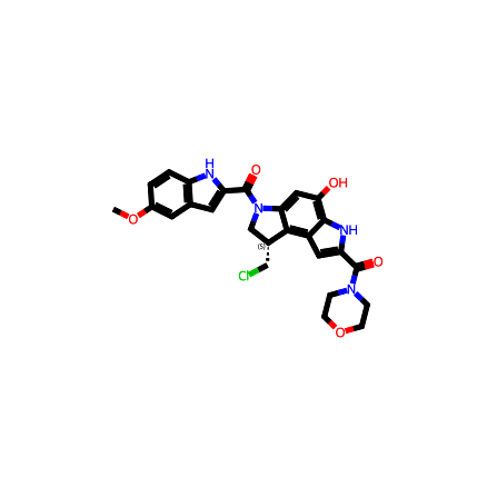 COc1ccc2[nH]c(C(=O)N3C[C@@H](CCl)c4c3cc(O)c3[nH]c(C(=O)N5CCOCC5)cc43)cc2c1